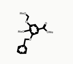 COCOc1cc(C(=O)OC)cc(OCc2ccccc2)c1OC